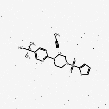 CC#C[C@@H]1CN(S(=O)(=O)c2cccs2)CCN1c1ncc([C@](C)(O)C(F)(F)F)cn1